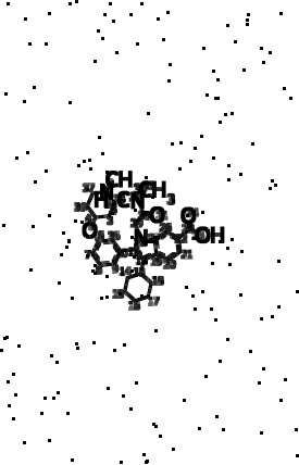 CN1CCC(Oc2cccc(-c3c(C4CCCCC4)c4ccc(C(=O)O)cc4n3CC(=O)N(C)C)c2)CC1